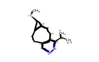 CSC1C2CCc3cnnc(C(C)C)c3CCC21